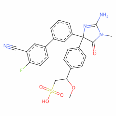 COC(CS(=O)(=O)O)c1ccc(C2(c3cccc(-c4ccc(F)c(C#N)c4)c3)N=C(N)N(C)C2=O)cc1